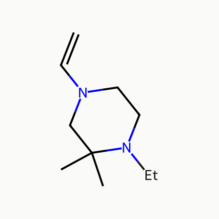 C=CN1CCN(CC)C(C)(C)C1